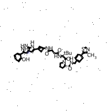 Cc1ncsc1-c1ccc(CNC(=O)[C@@H]2CCCN2C(=O)[C@@H](NC(=O)CCC(=O)NC23CC(C4=C/C(=C/C(=N)c5ccccc5O)C(=N)N4)(C2)C3)C(C)(C)C)cc1